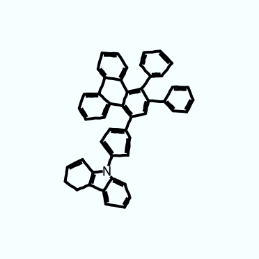 C1=Cc2c(c3ccccc3n2-c2ccc(-c3cc(-c4ccccc4)c(-c4ccccc4)c4c5ccccc5c5ccccc5c34)cc2)CC1